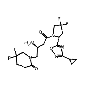 N[C@@H](CC(=O)N1CC(F)(F)C[C@H]1c1nc(C2CC2)no1)CN1CC(F)(F)CCC1=O